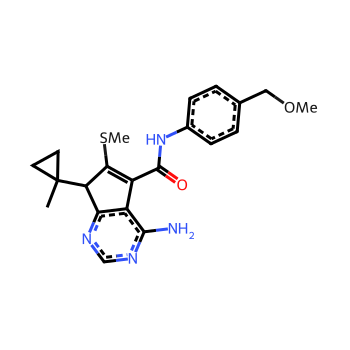 COCc1ccc(NC(=O)C2=C(SC)C(C3(C)CC3)c3ncnc(N)c32)cc1